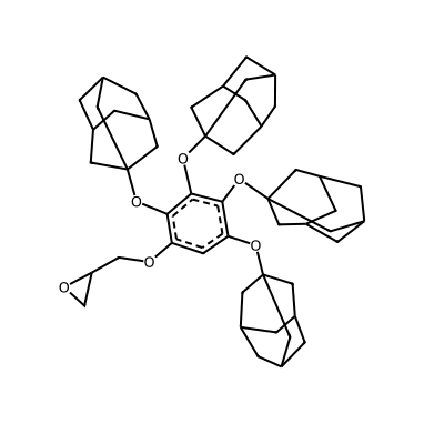 c1c(OCC2CO2)c(OC23CC4CC(CC(C4)C2)C3)c(OC23CC4CC(CC(C4)C2)C3)c(OC23CC4CC(CC(C4)C2)C3)c1OC12CC3CC(CC(C3)C1)C2